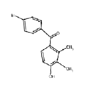 Cc1c(O)ccc(C(=O)c2ccc(Br)cc2)c1C